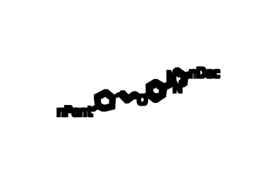 CCCCCCCCCCc1cnc(-c2ccc(OC/C=C/[C@H]3CC[C@H](CCCCC)CC3)cc2)nc1